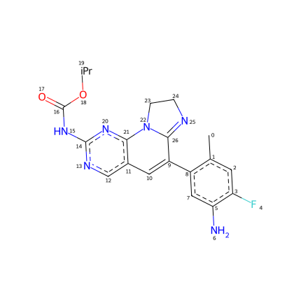 Cc1cc(F)c(N)cc1C1=Cc2cnc(NC(=O)OC(C)C)nc2N2CCN=C12